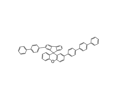 c1ccc(-c2ccc(-c3ccc(-c4ccc5c(c4)C4(c6ccccc6O5)c5ccccc5-c5ccc(-c6ccc(-c7ccccc7)cc6)cc54)cc3)cc2)cc1